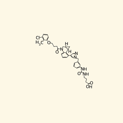 Cc1c(Cl)cccc1OCCCC(=O)N1C[C@@H]2C[C@@H]2c2c(-c3cnn(Cc4cccc(NC(=O)NCCCC(=O)O)c4)c3)cccc21